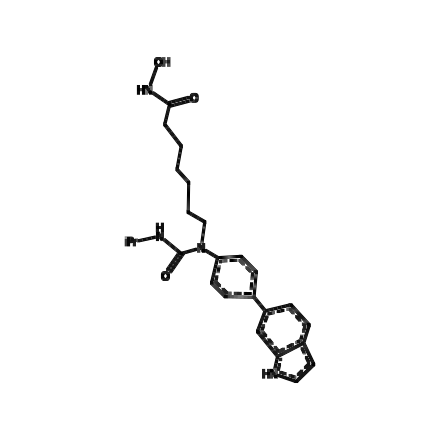 CC(C)NC(=O)N(CCCCCCC(=O)NO)c1ccc(-c2ccc3cc[nH]c3c2)cc1